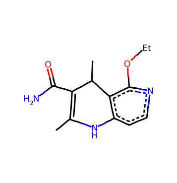 CCOc1nccc2c1C(C)C(C(N)=O)=C(C)N2